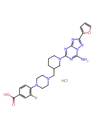 Cl.Nc1nc(N2CCCC(CN3CCN(c4ccc(C(=O)O)cc4F)CC3)C2)nc2nc(-c3ccco3)nn12